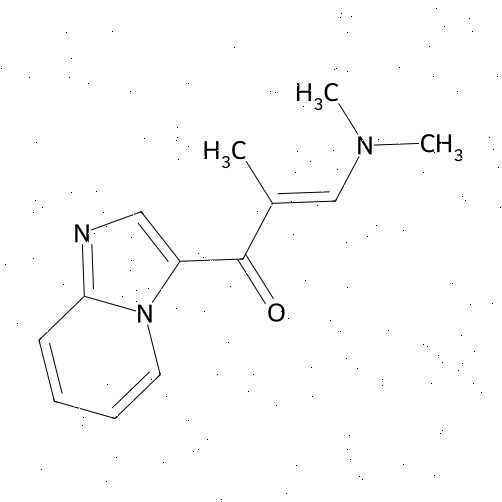 C/C(=C\N(C)C)C(=O)c1cnc2ccccn12